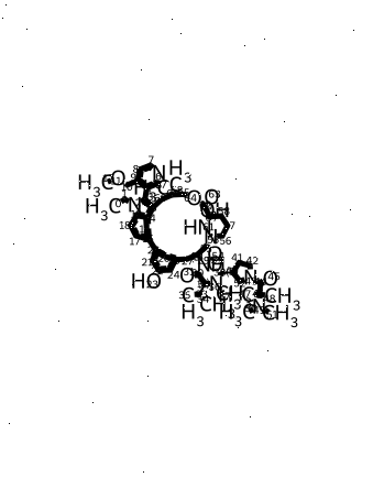 CCn1c(-c2cnccc2COC)c2c3cc(ccc31)-c1cc(O)cc(c1)C[C@H](NC(=O)[C@H](C(C)C)N(C)C(=O)[C@H]1CCN(C(=O)C(C)(C)N(C)C)C1)C(=O)N1CCC[C@@](O)(N1)C(=O)OCC(C)(C)C2